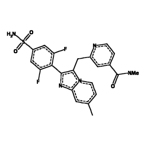 CNC(=O)c1ccnc(Cc2c(-c3c(F)cc(S(N)(=O)=O)cc3F)nc3cc(C)ccn23)c1